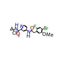 COc1cc(CC(=O)Nc2ccnc(C(=O)NC3(C(F)(F)F)CC3)c2)c(F)cc1Br